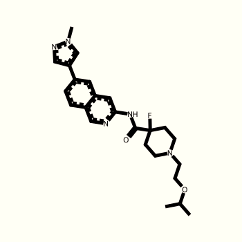 CC(C)OCCN1CCC(F)(C(=O)Nc2cc3cc(-c4cnn(C)c4)ccc3cn2)CC1